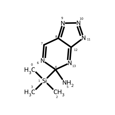 C[Si](C)(C)C1(N)N=CC2=NN=NC2=N1